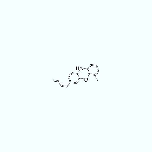 C=C/C=C\c1ccc2c(c1)Oc1c(C)cccc1N2